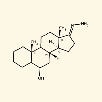 C[C@]12CCCCC1C(O)C[C@@H]1C2CC[C@]2(C)C(=NN)CC[C@@H]12